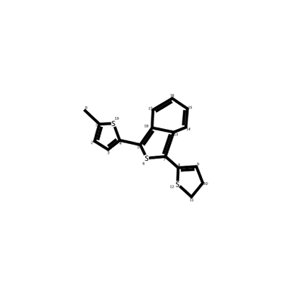 Cc1ccc(-c2sc(C3=CCCS3)c3ccccc23)s1